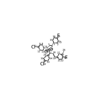 Cc1cc(C=CC(c2ccc(Cl)cc2)S(=O)(=O)C(C=Cc2ccc(F)c(C)c2)c2ccc(Cl)cc2)ccc1F